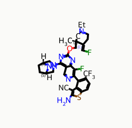 CCN1CC/C(=C\F)[C@](C)(COc2nc(N3C[C@H]4CC[C@@H](C3)N4)c3cnc(-c4c(C(F)(F)F)ccc5sc(N)c(C#N)c45)c(F)c3n2)C1